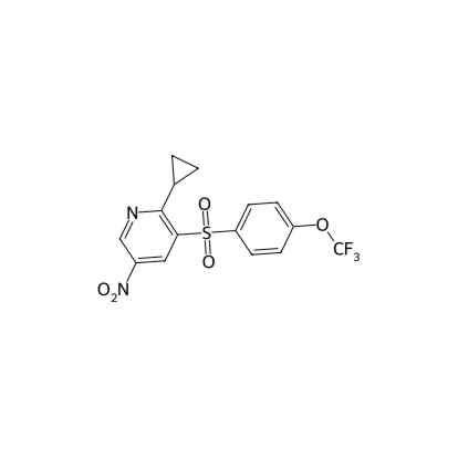 O=[N+]([O-])c1cnc(C2CC2)c(S(=O)(=O)c2ccc(OC(F)(F)F)cc2)c1